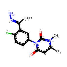 CCOC(=O)C(=NN)c1cc(-n2c(=O)cc(C(F)(F)F)n(C)c2=O)ccc1Cl